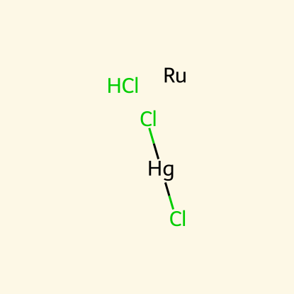 Cl.[Cl][Hg][Cl].[Ru]